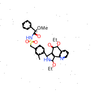 CCOC1NC(c2ccc(CS(=O)(=O)NC(=O)[C@H](OC)c3ccccc3)cc2C)C2=C1c1ncccc1C(OCC)C2=O